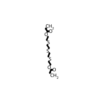 C=CC(=O)OCCSCCSCCSCCOC(=O)C=C